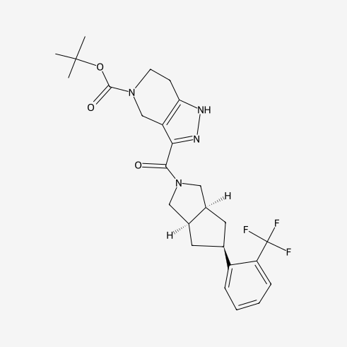 CC(C)(C)OC(=O)N1CCc2[nH]nc(C(=O)N3C[C@H]4C[C@@H](c5ccccc5C(F)(F)F)C[C@H]4C3)c2C1